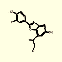 Oc1cc(C(F)CBr)c2oc(-c3ccc(O)c(F)c3)nc2c1